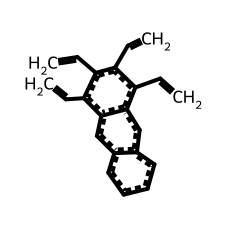 C=Cc1c(C=C)c(C=C)c2cc3ccccc3cc2c1C=C